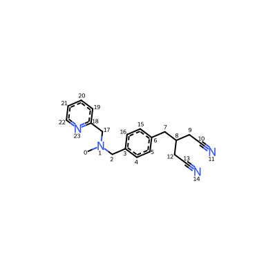 CN(Cc1ccc(CC(CC#N)CC#N)cc1)Cc1ccccn1